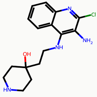 Nc1c(Cl)nc2ccccc2c1NCCC1(O)CCNCC1